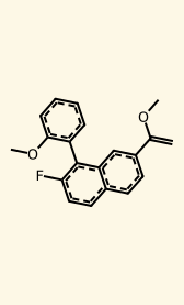 C=C(OC)c1ccc2ccc(F)c(-c3ccccc3OC)c2c1